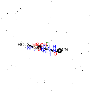 N#Cc1ccc(C(=O)NCCNc2nc(Cl)nc3c2ncn3[C@@H]2O[C@H](CSCCC(N)C(=O)O)[C@@H](O)[C@H]2O)cc1